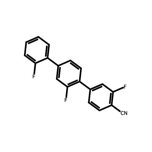 N#Cc1ccc(-c2ccc(-c3ccccc3F)cc2F)cc1F